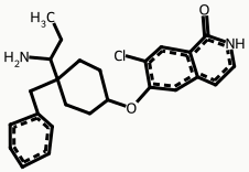 CCC(N)C1(Cc2ccccc2)CCC(Oc2cc3cc[nH]c(=O)c3cc2Cl)CC1